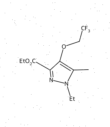 CCOC(=O)c1nn(CC)c(C)c1OCC(F)(F)F